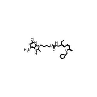 C=C(/C=C\C=C(/CC)CNC(=O)OCCCCN1c2nc(Cl)nc(N)c2NC1C)OCC1CCCC1